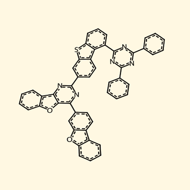 c1ccc(-c2nc(-c3ccccc3)nc(-c3cccc4sc5cc(-c6nc(-c7ccc8c(c7)oc7ccccc78)c7oc8ccccc8c7n6)ccc5c34)n2)cc1